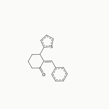 O=C1CCCC(c2cccs2)C1=Cc1ccccc1